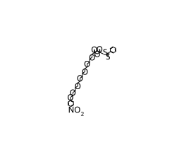 O=C(COCCOCCOCCOCCOCCOCOc1ccc([N+](=O)[O-])cc1)OC(=O)CSC(=S)c1ccccc1